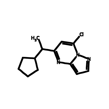 CC(c1cc(Cl)n2nccc2n1)C1CCCC1